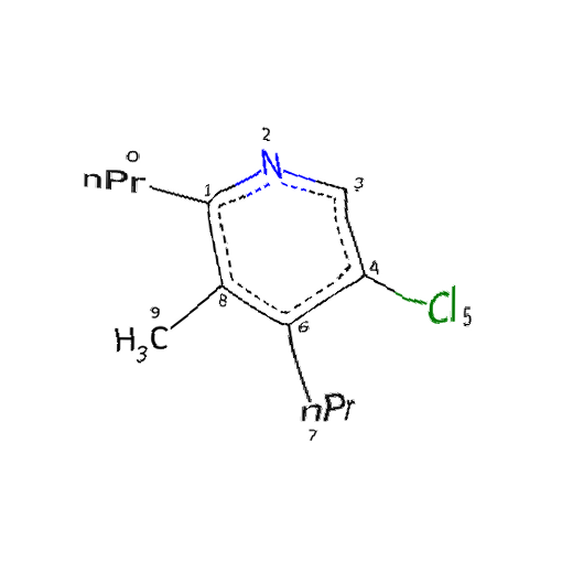 CCCc1n[c]c(Cl)c(CCC)c1C